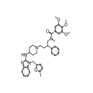 COc1cc(C(=O)N(C)CC(CCN2CCC(Nc3nc4ccccc4n3Cc3ccc(C)o3)CC2)c2ccccc2)cc(OC)c1OC